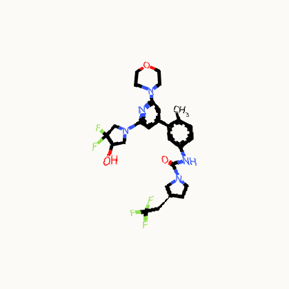 Cc1ccc(NC(=O)N2CC[C@@H](CC(F)(F)F)C2)cc1-c1cc(N2CCOCC2)nc(N2CC(O)C(F)(F)C2)c1